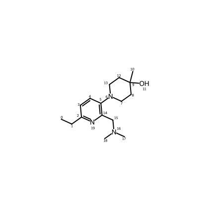 CCc1ccc(N2CCC(C)(O)CC2)c(CN(C)C)n1